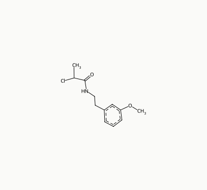 COc1cccc(CCNC(=O)C(C)Cl)c1